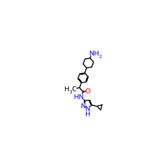 CC(C(=O)Nc1cc(C2CC2)[nH]n1)c1ccc(C2CCC(N)CC2)cc1